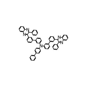 c1ccc(-c2ccc(N(c3cccc(-c4cccc(-c5nc6ccccc6nc5-c5ccccc5)c4)c3)c3cccc(-c4cccc(-c5nc6ccccc6nc5-c5ccccc5)c4)c3)cc2)cc1